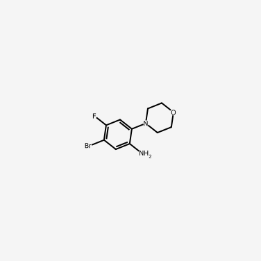 Nc1cc(Br)c(F)cc1N1CCOCC1